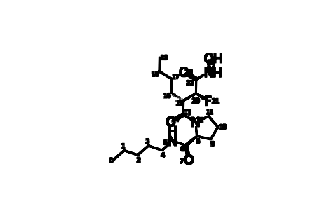 CCCCCNC(=O)[C@@H]1CCCN1C(=O)[C@H](CCCC)[C@H](F)C(=O)NO